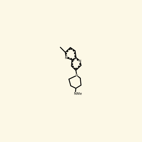 CNC1CCN(c2cnc3ccc(C)nc3c2)CC1